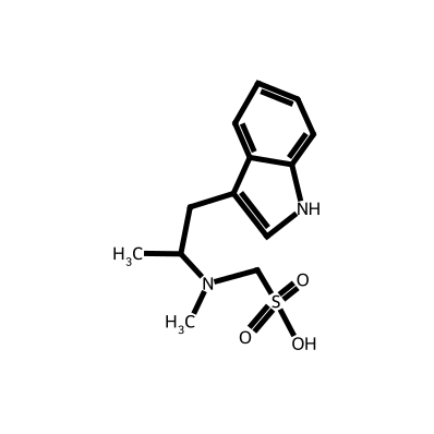 CC(Cc1c[nH]c2ccccc12)N(C)CS(=O)(=O)O